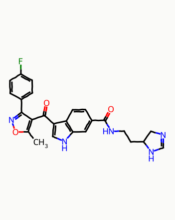 Cc1onc(-c2ccc(F)cc2)c1C(=O)c1c[nH]c2cc(C(=O)NCCC3CN=CN3)ccc12